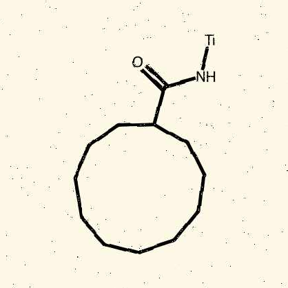 O=C([NH][Ti])C1CCCCCCCCCC1